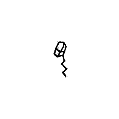 [CH2]CCCCC1C2CC3CC(C2)CC1C3